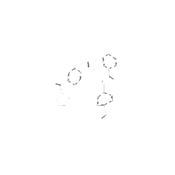 C=Cc1ccc(NC(=O)c2cc(Cl)ccc2NC(=O)c2ccc(C(=N)N3CCCC3)cc2)cc1